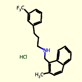 Cc1ccc2ccccc2c1CNCCCc1cccc(C(F)(F)F)c1.Cl